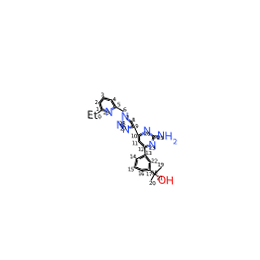 CCc1cccc(Cn2cc(-c3cc(-c4cccc(C(C)(C)O)c4)nc(N)n3)nn2)n1